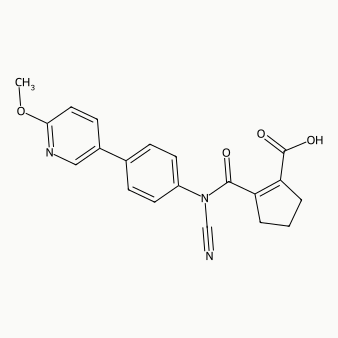 COc1ccc(-c2ccc(N(C#N)C(=O)C3=C(C(=O)O)CCC3)cc2)cn1